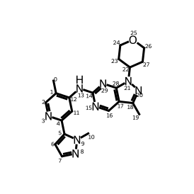 Cc1cnc(-c2ccnn2C)cc1Nc1ncc2c(C)nn(C3CCOCC3)c2n1